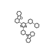 c1ccc(-c2cccc(-c3cc(-c4cccc5c4oc4ccccc45)nc(-c4cccc(-n5c6ccccc6c6ccccc65)c4)n3)c2)cc1